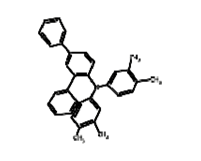 Cc1ccc(N(c2ccc(C)c(C)c2)c2ccc(-c3ccccc3)cc2-c2ccccc2)cc1C